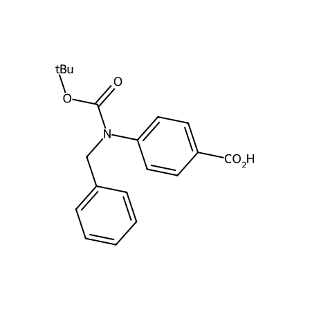 CC(C)(C)OC(=O)N(Cc1ccccc1)c1ccc(C(=O)O)cc1